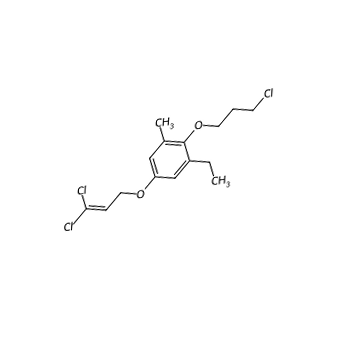 CCc1cc(OCC=C(Cl)Cl)cc(C)c1OCCCCl